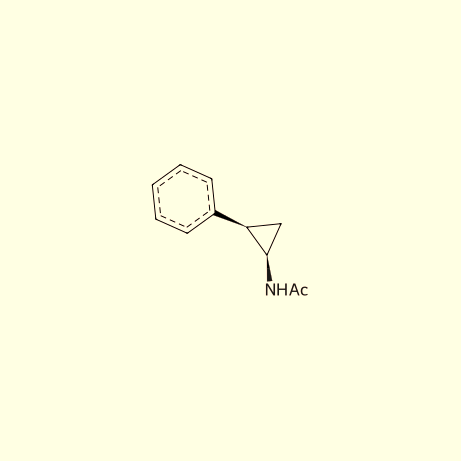 CC(=O)N[C@@H]1C[C@@H]1c1ccccc1